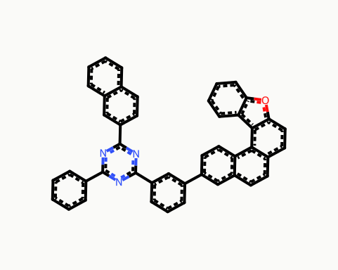 c1ccc(-c2nc(-c3cccc(-c4ccc5c(ccc6ccc7oc8ccccc8c7c65)c4)c3)nc(-c3ccc4ccccc4c3)n2)cc1